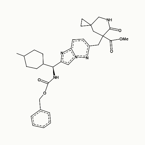 COC(=O)C1(Cc2ccc3nc([C@@H](NC(=O)OCc4ccccc4)C4CCC(C)CC4)cn3n2)CC2(CC2)CNC1=O